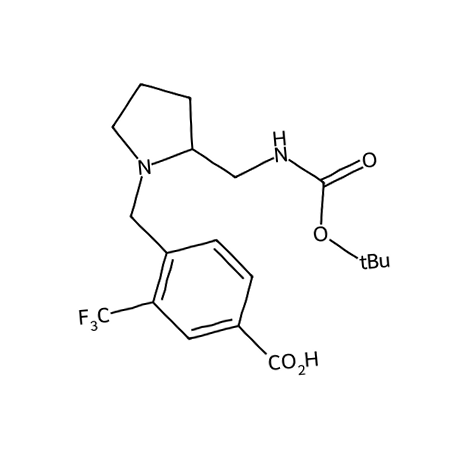 CC(C)(C)OC(=O)NCC1CCCN1Cc1ccc(C(=O)O)cc1C(F)(F)F